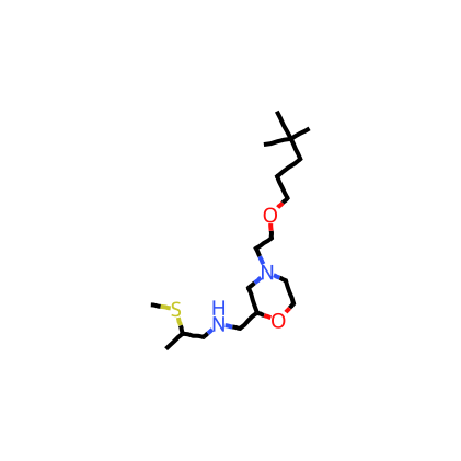 CSC(C)CNCC1CN(CCOCCCC(C)(C)C)CCO1